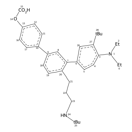 CCN(CC)c1ccc(-c2cc(-c3ccc(OC(=O)O)cc3)ccc2CCCNC(C)(C)C)cc1C(C)(C)C